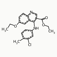 CCOC(=O)c1cnc2ccc(OCC)cc2c1Nc1ccc(C)c(Cl)c1